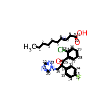 CCCCCC/C=C/CC(=O)O.Fc1ccc(C2(Cn3cncn3)OC2c2ccccc2Cl)cc1